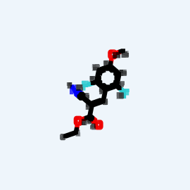 CCOC(=O)/C(C#N)=C/c1c(F)cc(OC)cc1F